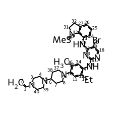 C=CN1CCN(C2CCN(c3cc(CC)c(Nc4ncc(Br)c(Nc5cccc6c5N(SC)CC6)n4)cc3C)CC2)CC1